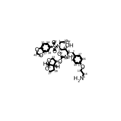 CC(C)CN(C[C@H](O)[C@H](Cc1ccc(OCCN)cc1)NC(=O)O[C@H]1CO[C@H]2OCC[C@H]21)S(=O)(=O)c1ccc2c(c1)OCO2